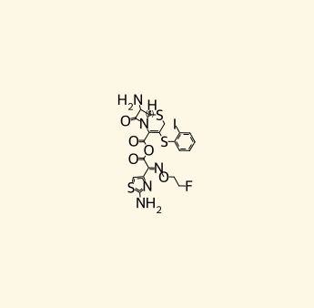 Nc1nc(C(=NOCCF)C(=O)OC(=O)C2=C(Sc3ccccc3I)CS[C@H]3C(N)C(=O)N23)cs1